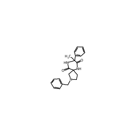 CC1(c2ccccc2)NC(=O)C2(CCN(Cc3ccccc3)C2)NC1=O